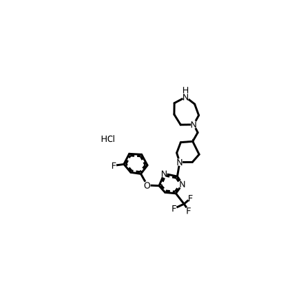 Cl.Fc1cccc(Oc2cc(C(F)(F)F)nc(N3CC[C](CN4CCCNCC4)CC3)n2)c1